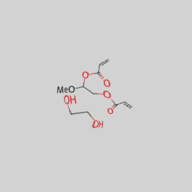 C=CC(=O)OCC(OC)OC(=O)C=C.OCCO